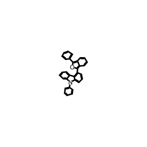 c1ccc(-c2oc(-c3cccc4c3c3ccccc3n4-c3ccccc3)c3ccccc23)cc1